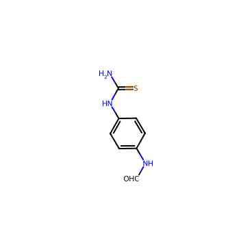 NC(=S)Nc1ccc(NC=O)cc1